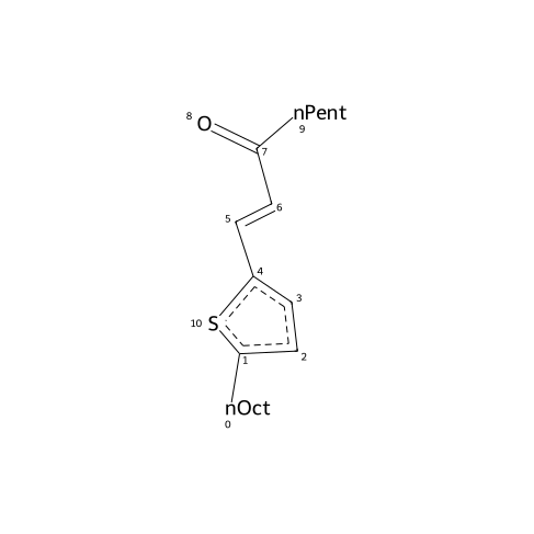 CCCCCCCCc1ccc(C=CC(=O)CCCCC)s1